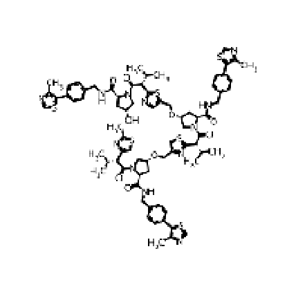 Cc1nc([C@H](C(=O)N2C[C@H](OCc3csc([C@H](C(=O)N4C[C@H](OCc5cnc([C@H](C(=O)N6C[C@H](O)C[C@H]6C(=O)NCc6ccc(-c7scnc7C)cc6)C(C)C)s5)C[C@H]4C(=O)NCc4ccc(-c5scnc5C)cc4)C(C)C)n3)C[C@H]2C(=O)NCc2ccc(-c3scnc3C)cc2)C(C)C)cs1